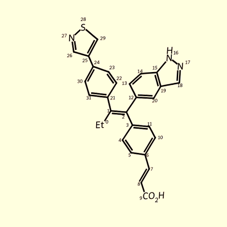 CCC(=C(c1ccc(C=CC(=O)O)cc1)c1ccc2[nH]ncc2c1)c1ccc(-c2cnsc2)cc1